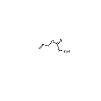 C=CCOC(=S)SO